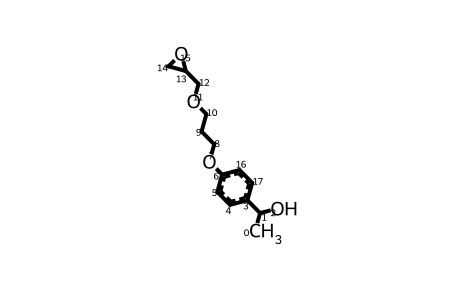 CC(O)c1ccc(OCCCOCC2CO2)cc1